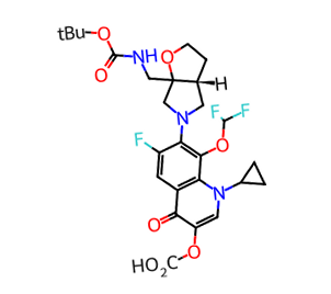 CC(C)(C)OC(=O)NCC12CN(c3c(F)cc4c(=O)c(OC(=O)O)cn(C5CC5)c4c3OC(F)F)C[C@H]1CCO2